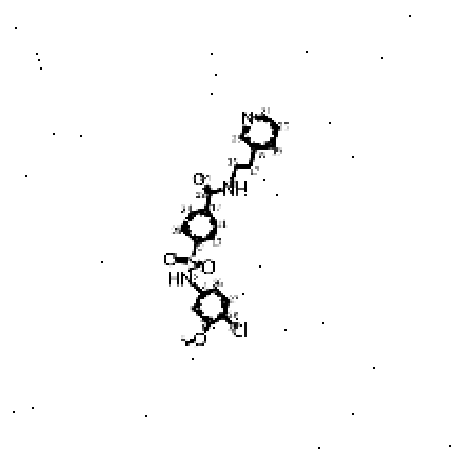 COc1cc(NS(=O)(=O)c2ccc(C(=O)NCCc3cccnc3)cc2)ccc1Cl